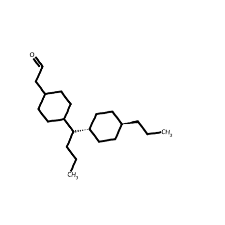 CCCC(C1CCC(CC=O)CC1)[C@H]1CC[C@H](CCC)CC1